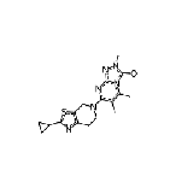 Cc1c(N2CCc3nc(C4CC4)sc3C2)nc2nn(C)c(=O)n2c1C